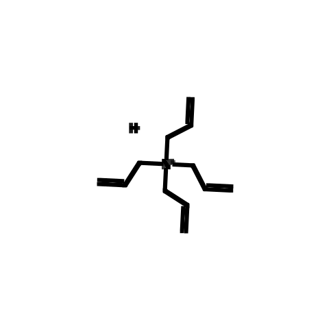 C=CC[N+](CC=C)(CC=C)CC=C.[H]